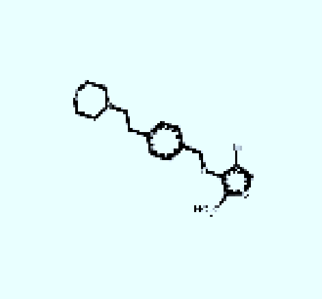 O=C(O)c1scc(Br)c1OCc1ccc(CCN2CCOCC2)cc1